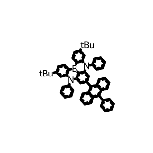 CC(C)(C)c1ccc2c(c1)N(c1ccccc1)c1cc(-c3c4ccccc4c(-c4ccccc4)c4ccccc34)cc3c1B2c1ccc(C(C)(C)C)cc1N3c1ccccc1